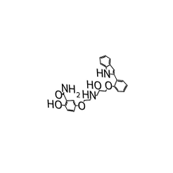 NC(=O)c1cc(OCCNCC(O)COc2ccccc2-c2cc3ccccc3[nH]2)ccc1O